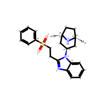 O=S(=O)(CCc1nc2ccccc2n1[C@H]1C[C@H]2CC[C@@H](C1)N2)c1ccccc1